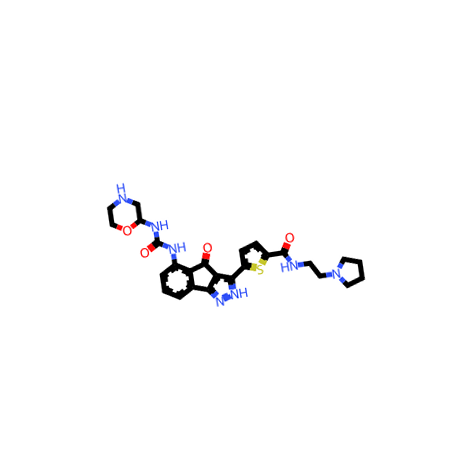 O=C(Nc1cccc2c1C(=O)c1c-2n[nH]c1-c1ccc(C(=O)NCCN2CCCC2)s1)NC1CNCCO1